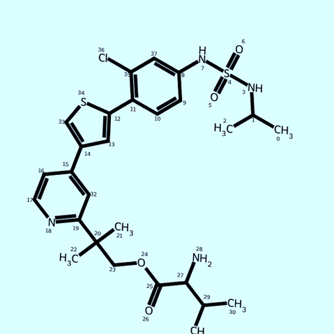 CC(C)NS(=O)(=O)Nc1ccc(-c2cc(-c3ccnc(C(C)(C)COC(=O)C(N)C(C)C)c3)cs2)c(Cl)c1